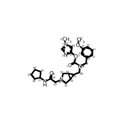 Cn1cnc(OC(=O)N(Cc2cccc(OC(F)(F)F)c2)CC2C3CN(CC(=O)NC4CCCC4)CC32)c1